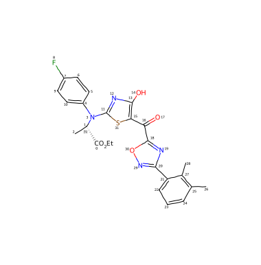 CCOC(=O)[C@H](C)N(c1ccc(F)cc1)c1nc(O)c(C(=O)c2nc(-c3cccc(C)c3C)no2)s1